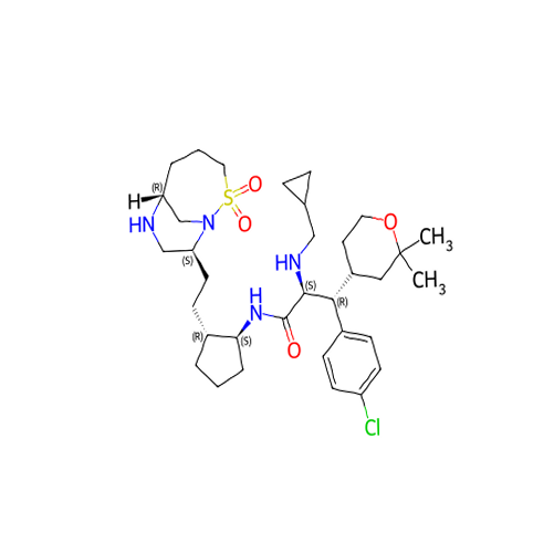 CC1(C)CC([C@H](c2ccc(Cl)cc2)[C@H](NCC2CC2)C(=O)N[C@H]2CCC[C@@H]2CC[C@H]2CN[C@@H]3CCCS(=O)(=O)N2C3)CCO1